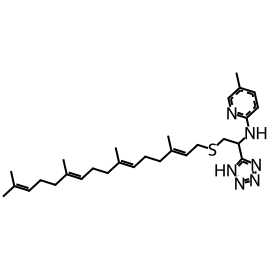 CC(C)=CCC/C(C)=C/CC/C(C)=C/CC/C(C)=C/CSCC(Nc1ccc(C)cn1)c1nnn[nH]1